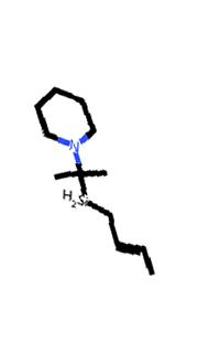 C/C=C/C[SiH2]C(C)(C)N1CCCCC1